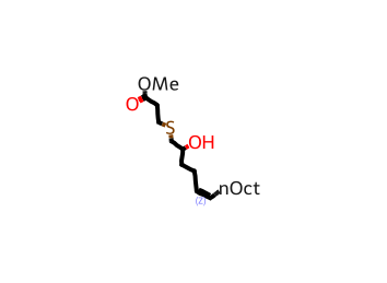 CCCCCCCC/C=C\CCC(O)CSCCC(=O)OC